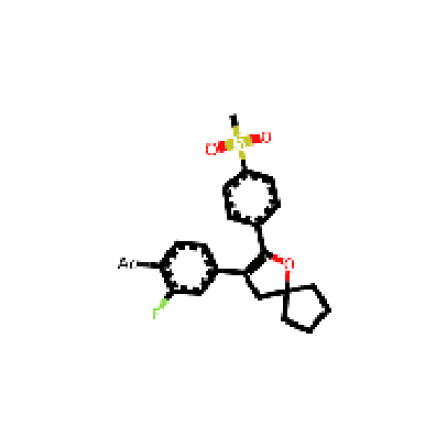 CC(=O)c1ccc(C2=C(c3ccc(S(C)(=O)=O)cc3)OC3(CCCC3)C2)cc1F